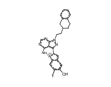 Nc1ncnc2c1c(-c1cc3cc(O)c(F)cc3[nH]1)nn2CCC1CCc2ccccc2C1